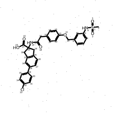 CS(=O)(=O)Nc1cccc(COc2ccc(CC(=O)NC3(C(=O)O)Cc4ccc(-c5ccc(Cl)cc5)cc4C3)cc2)c1